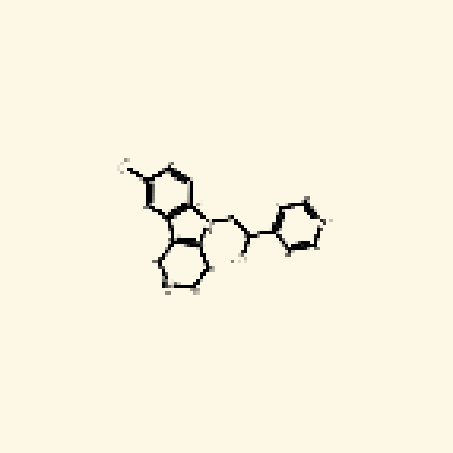 OC(Cn1c2c(c3cc(Cl)ccc31)CNCC2)c1ccncc1